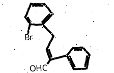 O=CC(=CCc1ccccc1Br)c1ccccc1